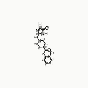 O=C(Cc1ccccc1F)C1CCN(Cc2n[nH]c(=O)[nH]2)CC1